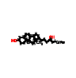 COCCC(O)CCCC1CCC2C3CC=C4CC(O)CCC4(C)C3CCC12C